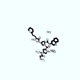 CN(C(=O)CN)[C@H]1CN[C@H](C(=O)N2C[C@H](NC(=O)[C@H](O)CCc3ccccc3)C[C@H]2C(=O)Nc2cnc3ccccc3c2)C1.Cl.Cl.Cl